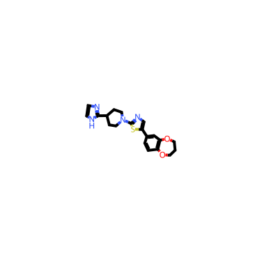 c1c[nH]c(C2CCN(c3ncc(-c4ccc5c(c4)OCCCO5)s3)CC2)n1